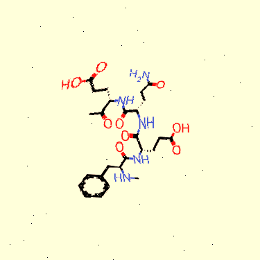 CN[C@@H](Cc1ccccc1)C(=O)N[C@@H](CCC(=O)O)C(=O)N[C@@H](CCC(N)=O)C(=O)N[C@@H](CCC(=O)O)C(C)=O